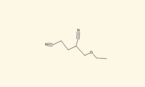 CCOCC(C#N)CCC#N